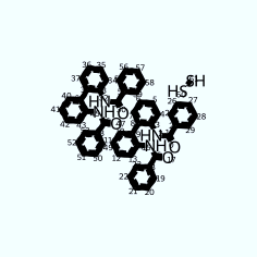 O=C(Nc1ccccc1-c1ccccc1NC(=O)c1ccccc1)c1ccccc1.O=C(Nc1ccccc1-c1ccccc1NC(=O)c1ccccc1)c1ccccc1.SS